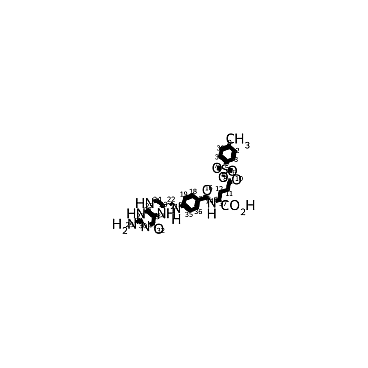 Cc1ccc(S(=O)(=O)OC(=O)CC[C@H](NC(=O)c2ccc(NC[C@H]3CNc4[nH]c(N)nc(=O)c4N3)cc2)C(=O)O)cc1